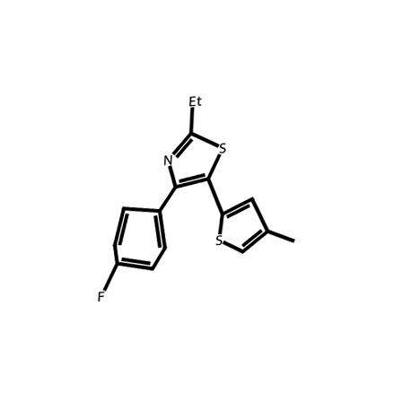 CCc1nc(-c2ccc(F)cc2)c(-c2cc(C)cs2)s1